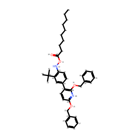 CCCCCCCCCC(=O)ONc1ccc(-c2ccc(OCc3ccccc3)nc2OCc2ccccc2)cc1C(C)(C)C